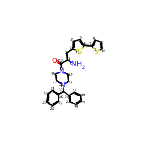 NC(Cc1ccc(-c2cccs2)s1)C(=O)N1CCN(C(c2ccccc2)c2ccccc2)CC1